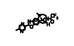 Cc1cnc(C2Oc3cc4c5cc3N2C(C)(C)[C@@H](C4)N(C(=O)C(F)(F)F)CC[C@@H]5C)cn1